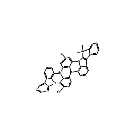 Cc1cc2c3c(c1)-n1c4c(c5cccc(c51)B3c1ccc(Cl)cc1N2c1cccc2c1oc1ccccc12)-c1ccccc1C4(C)C